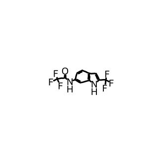 O=C(Nc1ccc2cc(C(F)(F)F)[nH]c2c1)C(F)(F)F